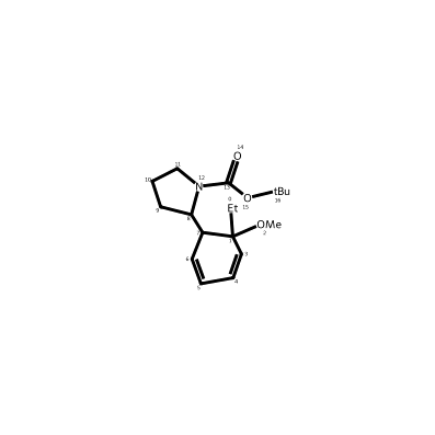 CCC1(OC)C=CC=CC1C1CCCN1C(=O)OC(C)(C)C